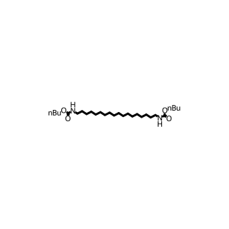 CCCCOC(=O)NCCCCCCCCCCCCCCCCCCNC(=O)OCCCC